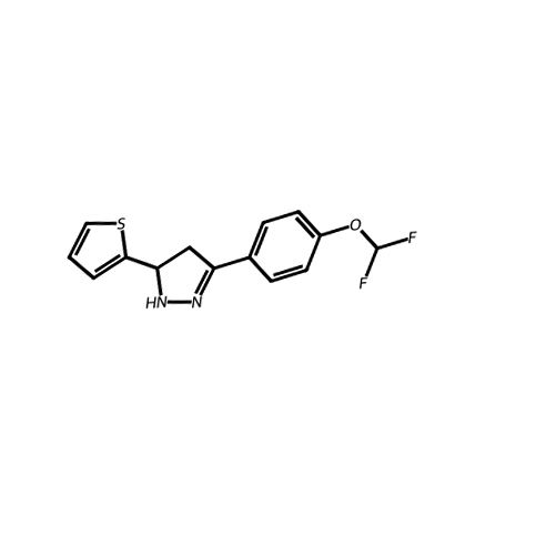 FC(F)Oc1ccc(C2=NNC(c3cccs3)C2)cc1